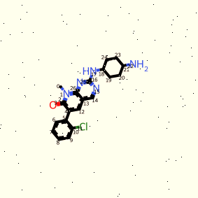 Cn1c(=O)c(-c2ccccc2Cl)cc2cnc(NC3CCC(N)CC3)nc21